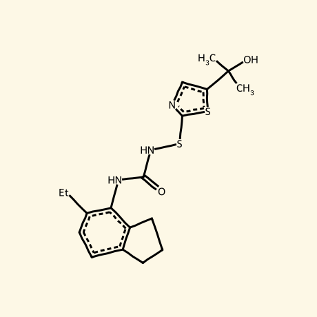 CCc1ccc2c(c1NC(=O)NSc1ncc(C(C)(C)O)s1)CCC2